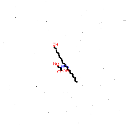 CCCCCCCCCCCCCCCCCCO.NC(CO)C(=O)O